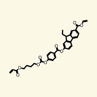 C=COC(=O)c1ccc2c(c1)C(CC)c1cc(OC(=O)c3ccc(OC(=O)OCCCCOC(=O)C=C)cc3)ccc1-2